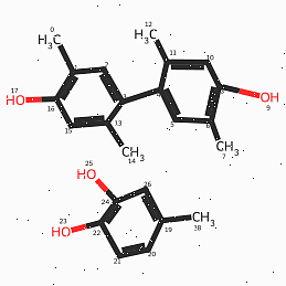 Cc1cc(-c2cc(C)c(O)cc2C)c(C)cc1O.Cc1ccc(O)c(O)c1